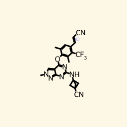 Cc1cc(/C=C/C#N)c(C(F)(F)F)c(C)c1Oc1nc(NC23CC(C#N)(C2)C3)nc2nn(C)cc12